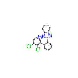 Clc1cccc(-c2ccccc2-c2nc3ccccc3[nH]2)c1Cl